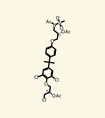 CC(=O)O[C@H](COc1ccc(C(C)(C)c2cc(Cl)c(OC[C@H](CCl)OC(C)=O)c(Cl)c2)cc1)CN(C(C)=O)S(C)(=O)=O